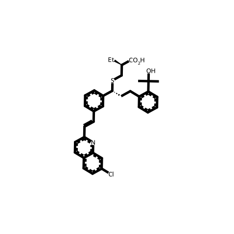 CC[C@H](CS[C@H](CCc1ccccc1C(C)(C)O)c1cccc(C=Cc2ccc3ccc(Cl)cc3n2)c1)C(=O)O